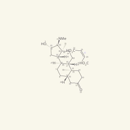 CN[C@@H]1[C@@H](O)C[C@H]2[C@@H]3CC[C@H]4CC(=O)CC[C@]4(C)[C@H]3CC[C@]12C.O=C(O)/C=C\C(=O)O